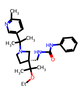 CCOC(C)(C)[C@@]1(CNC(=O)Nc2ccccc2)CCN(C(C)(C)c2ccc(C)nc2)C1